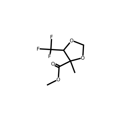 COC(=O)C1(C)OCOC1C(F)(F)F